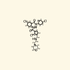 O=C(Nc1ccc(Cl)cn1)c1cc(Cl)ccc1NC(=O)c1scc(CNCCN2CCOCC2)c1Cl